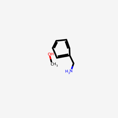 CO.NCc1ccccc1